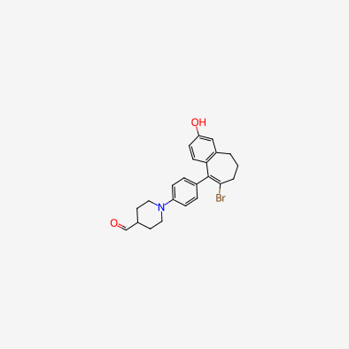 O=CC1CCN(c2ccc(C3=C(Br)CCCc4cc(O)ccc43)cc2)CC1